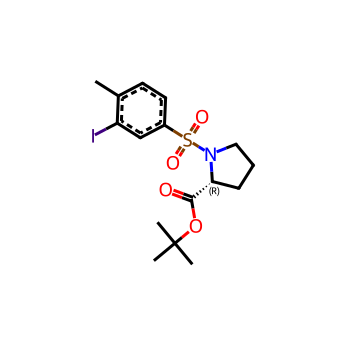 Cc1ccc(S(=O)(=O)N2CCC[C@@H]2C(=O)OC(C)(C)C)cc1I